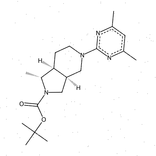 Cc1cc(C)nc(N2CC[C@H]3[C@@H](C2)CN(C(=O)OC(C)(C)C)[C@@H]3C)n1